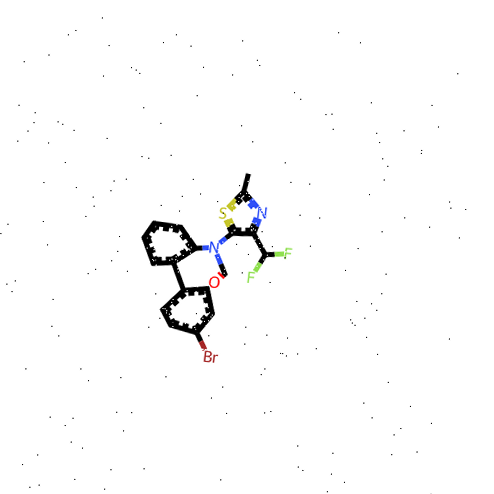 Cc1nc(C(F)F)c(N(C=O)c2ccccc2-c2ccc(Br)cc2)s1